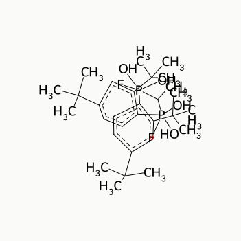 CC(P(O)(O)(F)c1ccc(C(C)(C)C)cc1C(C)(C)C)P(O)(O)(F)c1ccc(C(C)(C)C)cc1C(C)(C)C